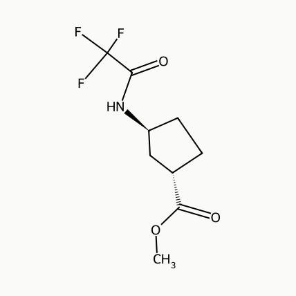 COC(=O)[C@H]1CC[C@H](NC(=O)C(F)(F)F)C1